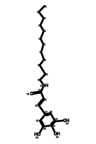 CCCCCCCCCCCCNC(=O)C=Cc1cc(O)c(O)c(O)c1